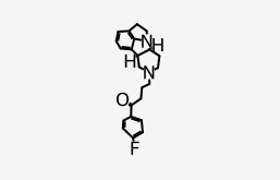 O=C(CCCN1CC[C@H]2[C@@H](C1)c1cccc3c1N2CC3)c1ccc(F)cc1